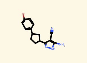 N#Cc1c(C2CCC(c3ccc(Br)cc3)C2)n[nH]c1N